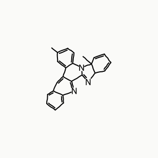 Cc1ccc2c(c1)-c1cc3ccccc3nc1C1=NC3C=CC=CC3(C)N12